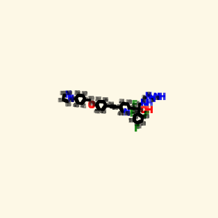 N=N/N=C\NCC(O)(c1ccc(F)cc1F)C(F)(F)c1ccc(C#Cc2ccc(OCc3ccc(-n4cccn4)cc3)cc2)cn1